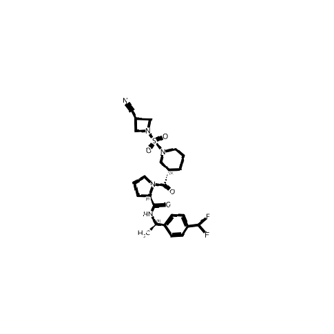 C[C@@H](NC(=O)[C@H]1CCCN1C(=O)[C@H]1CCCN(S(=O)(=O)N2CC(C#N)C2)C1)c1ccc(C(F)F)cc1